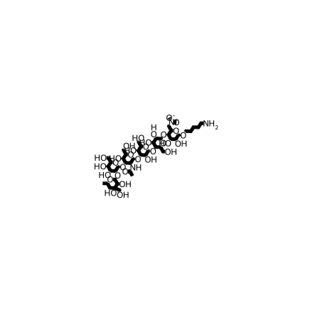 CC(=O)NC1C(O[C@@H]2OC(CO)[C@H](O)C(O)C2O[C@@H]2OC(C)CC(O)(CO)C2O)[C@@H](O)C(CO)O[C@H]1OC1C(O)[C@@H](O[C@H]2C(CO)O[C@@H](O[C@@H]3C(C[N+](=O)[O-])O[C@@H](OCCCCCN)C(O)C3O)C(O)C2O)OC(CO)[C@@H]1O